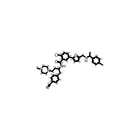 Cc1ccc(C(C)NCc2ccc(-c3ccc(Cl)c(C(=O)NC(CCN4CCN(C)CC4)Cc4ccc(C#N)cc4)c3)o2)cc1